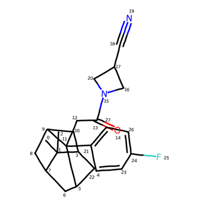 CC1(C)C2CC3CC1CC(C2)C3(CC(=O)N1CC(C#N)C1)c1ccc(F)cc1